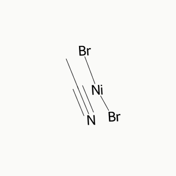 CC#N.[Br][Ni][Br]